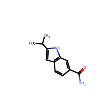 CC(C)c1cc2ccc(C(N)=O)cc2[nH]1